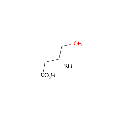 O=C(O)CCCO.[KH]